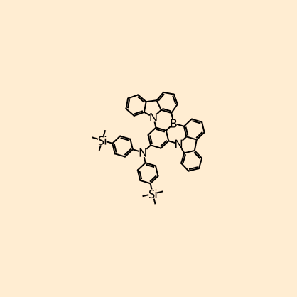 C[Si](C)(C)c1ccc(N(c2ccc([Si](C)(C)C)cc2)c2cc3c4c(c2)-n2c5ccccc5c5cccc(c52)B4c2cccc4c5ccccc5n-3c24)cc1